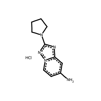 Cl.Nc1ccn2nc(N3CCCC3)nc2c1